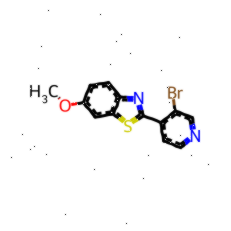 COc1ccc2nc(-c3ccncc3Br)sc2c1